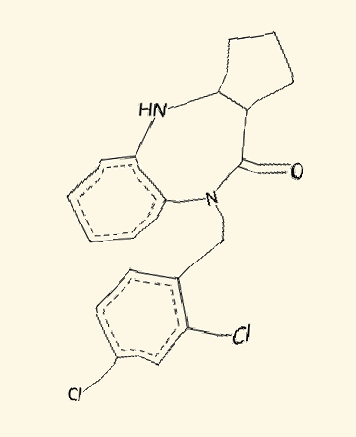 O=C1C2CCCC2Nc2ccccc2N1Cc1ccc(Cl)cc1Cl